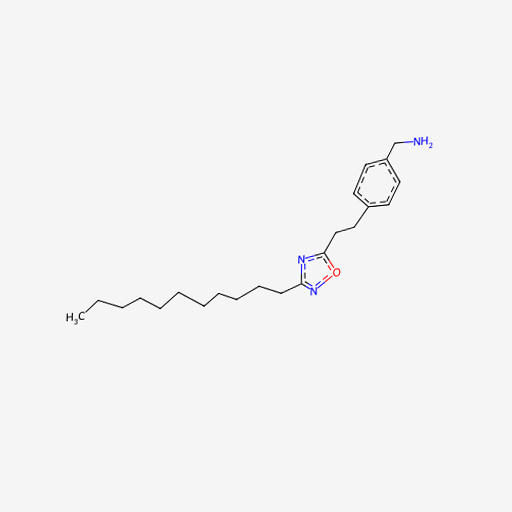 CCCCCCCCCCCc1noc(CCc2ccc(CN)cc2)n1